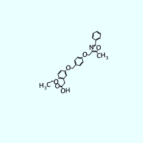 CCOc1ccc(OCc2ccc(OCc3nc(-c4ccccc4)oc3C)cc2)cc1CC(=O)O